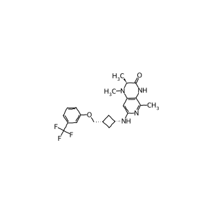 Cc1nc(N[C@H]2C[C@@H](COc3cccc(C(F)(F)F)c3)C2)cc2c1NC(=O)[C@H](C)N2C